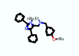 CCCCOc1ccc(CN(CC)Cc2c(-c3ccccc3)nc(-c3ccccc3)n2CCCC)cc1